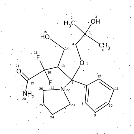 CC(C)(O)COC(c1ccccc1)(C(CO)C(F)(F)C(N)=O)N1CCCC1